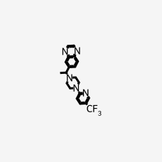 CC(c1ccc2nccnc2c1)N1CCN(c2ccc(C(F)(F)F)cn2)CC1